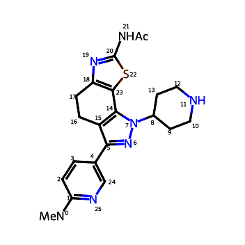 CNc1ccc(-c2nn(C3CCNCC3)c3c2CCc2nc(NC(C)=O)sc2-3)cn1